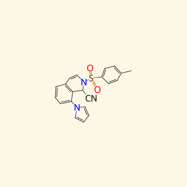 Cc1ccc(S(=O)(=O)N2C=Cc3cccc(-n4cccc4)c3C2C#N)cc1